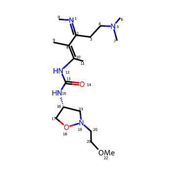 C/N=C(CCN(C)C)\C(C)=C(/C)NC(=O)N[C@H]1CON(CCOC)C1